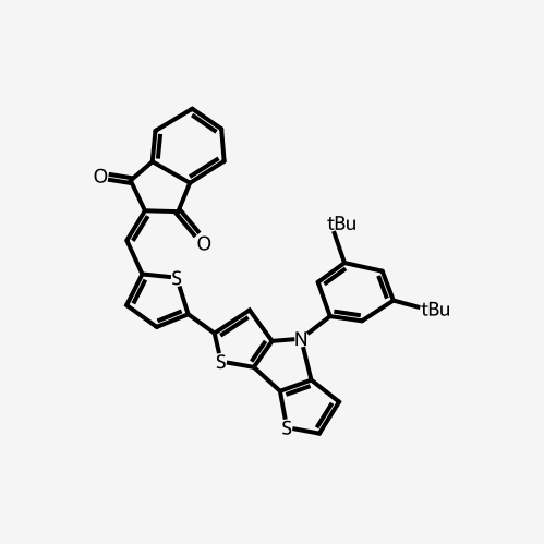 CC(C)(C)c1cc(-n2c3ccsc3c3sc(-c4ccc(C=C5C(=O)c6ccccc6C5=O)s4)cc32)cc(C(C)(C)C)c1